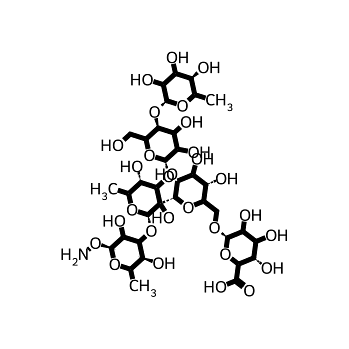 CC1O[C@H](O[C@@H]2C(CO)O[C@@H](OC3[C@@H](O)C(C)O[C@@H](OC4C(O)[C@H](ON)OC(C)[C@@H]4O)C3(O)[C@H]3OC(CO[C@H]4OC(C(=O)O)[C@@H](O)C(O)C4O)[C@@H](O)C(O)C3O)C(O)C2O)C(O)C(O)[C@H]1O